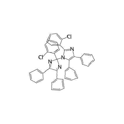 Clc1ccccc1-c1nc(-c2ccccc2)c(-c2ccccc2)n1C1(c2ccccc2Cl)N=C(c2ccccc2)C(c2ccccc2)=N1